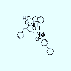 O=C(N[C@H]1c2ccccc2C[C@H]1O)[C@H](Cc1ccccc1)C[C@H](O)CNS(=O)(=O)c1ccc(C2CCCCC2)cc1